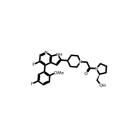 COc1ccc(F)cc1-c1c(F)cnc2[nH]c(C3CCN(CC(=O)N4CCC[C@H]4CO)CC3)cc12